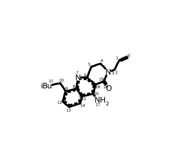 C=CCN1CCc2nc3c(CC(C)CC)cccc3c(N)c2C1=O